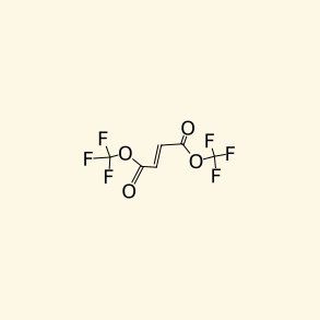 O=C(C=CC(=O)OC(F)(F)F)OC(F)(F)F